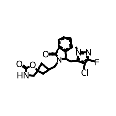 Cn1nc(F)c(Cl)c1CC1c2ccccc2C(=O)N1CC1CC2(CNC(=O)O2)C1